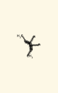 CCCCCCCCOc1ccc(-c2ncc(Oc3cnc(-c4ccc(OCCCCCCCC)nc4)nc3CCCCCCCCC3CC3)c(CCCCCCCCC3CC3)n2)cn1